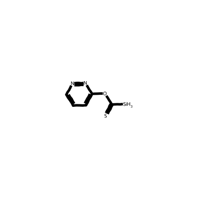 [SiH3]C(=S)Oc1cccnn1